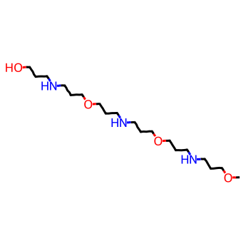 COCCCNCCCOCCCNCCCOCCCNCCCO